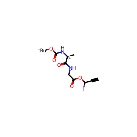 C#CC(I)OC(=O)CNC(=O)[C@H](C)NC(=O)OC(C)(C)C